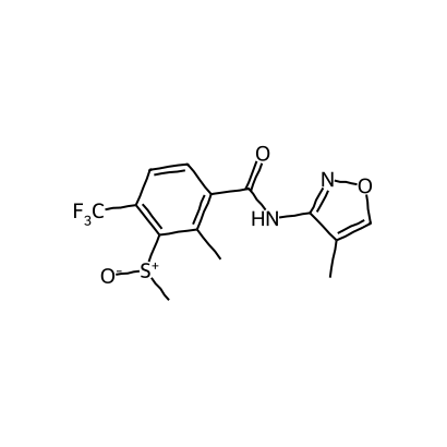 Cc1conc1NC(=O)c1ccc(C(F)(F)F)c([S+](C)[O-])c1C